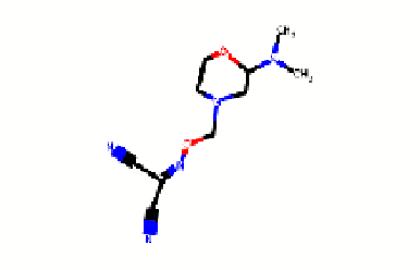 CN(C)C1CN([C]ON=C(C#N)C#N)CCO1